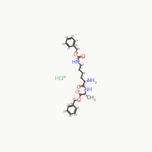 C[C@@H](NC(=O)[C@@H](N)CCCCNC(=O)OCc1ccccc1)C(=O)OCc1ccccc1.Cl